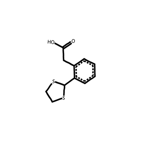 O=C(O)Cc1ccccc1C1SCCS1